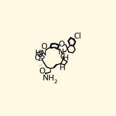 C[C@@H]1[C@@H](C)C[C@H](CC(N)=O)/C=C/[C@@H]2CC[C@H]2CN2C[C@@]3(CCCc4cc(Cl)ccc43)COc3ccc(cc32)C(=O)NS1(=O)=O